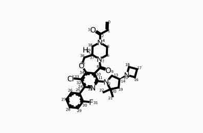 C=CC(=O)N1CCN2C(=O)c3c(N4C[C@@H](N5CCC5)CC4(C)C)nc(-c4ccccc4F)c(Cl)c3OC[C@H]2C1